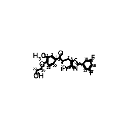 Cc1cc(C(=O)CCc2sc(-c3cc(F)cc(F)c3)nc2C(C)C)ccc1OCCO